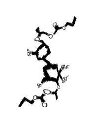 C=CCOC(=O)OC(C)OC1=C(Br)CC(c2ccc(OC(C)OC(=O)OCC=C)c(Br)c2)=CC1(Br)Br